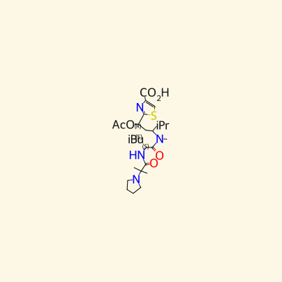 CC[C@H](C)[C@H](NC(=O)C(C)(C)N1CCCC1)C(=O)N(C)C(C[C@@H](OC(C)=O)c1nc(C(=O)O)cs1)C(C)C